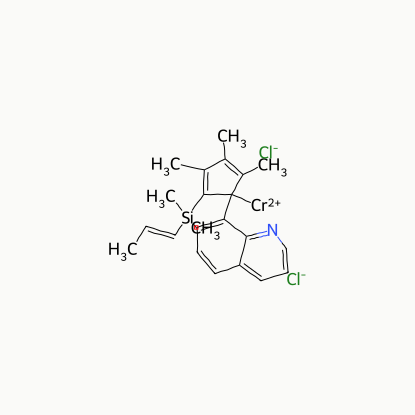 CC=C[Si](C)(C)C1=C(C)C(C)=C(C)[C]1([Cr+2])c1cccc2cccnc12.[Cl-].[Cl-]